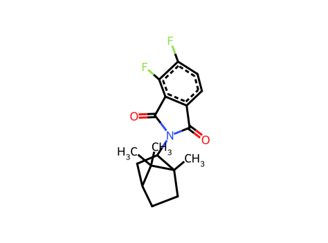 CC1(C)C2CCC1(C)C(N1C(=O)c3ccc(F)c(F)c3C1=O)C2